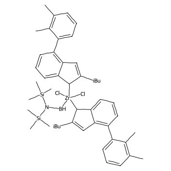 CCC(C)C1=Cc2c(-c3cccc(C)c3C)cccc2[CH]1[Zr]([Cl])([Cl])([BH]N([Si](C)(C)C)[Si](C)(C)C)[CH]1C(C(C)CC)=Cc2c(-c3cccc(C)c3C)cccc21